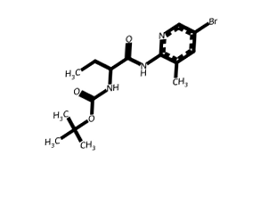 CCC(NC(=O)OC(C)(C)C)C(=O)Nc1ncc(Br)cc1C